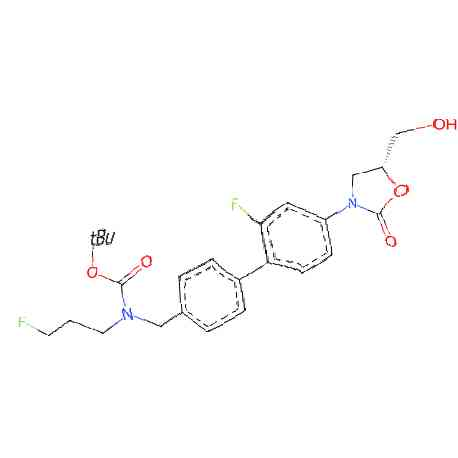 CC(C)(C)OC(=O)N(CCCF)Cc1ccc(-c2ccc(N3C[C@H](CO)OC3=O)cc2F)cc1